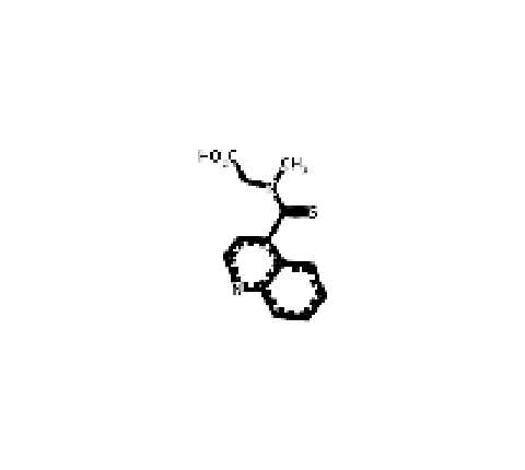 CN(CC(=O)O)C(=S)c1ccnc2ccccc12